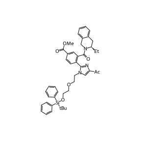 CC[C@@H]1Cc2ccccc2CN1C(=O)c1cc(C(=O)OC)ccc1-c1nc(C(C)=O)cn1CCOCCO[Si](c1ccccc1)(c1ccccc1)C(C)(C)C